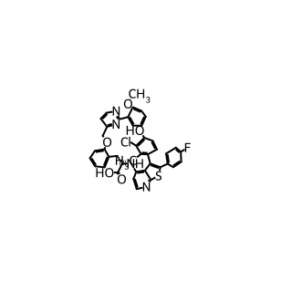 COc1ccccc1-c1nccc(COc2ccccc2C[C@@H](Nc2ccnc3sc(-c4ccc(F)cc4)c(-c4ccc(O)c(Cl)c4C)c23)C(=O)O)n1